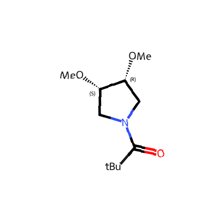 CO[C@H]1CN(C(=O)C(C)(C)C)C[C@H]1OC